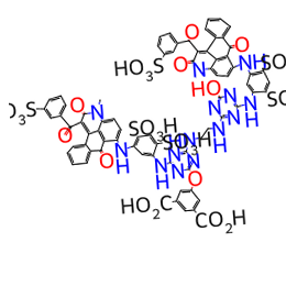 Cn1c(=O)c(C(=O)c2cccc(S(=O)(=O)O)c2)c2c3c(c(Nc4cc(Nc5nc(O)nc(NCCNc6nc(Nc7cc(Nc8ccc9c%10c8C(=O)c8ccccc8-c%10c(C(=O)c8cccc(S(=O)(=O)O)c8)c(=O)n9C)c(S(=O)(=O)O)cc7S(=O)(=O)O)nc(Oc7cc(C(=O)O)cc(C(=O)O)c7)n6)n5)c(S(=O)(=O)O)cc4S(=O)(=O)O)ccc31)C(=O)c1ccccc1-2